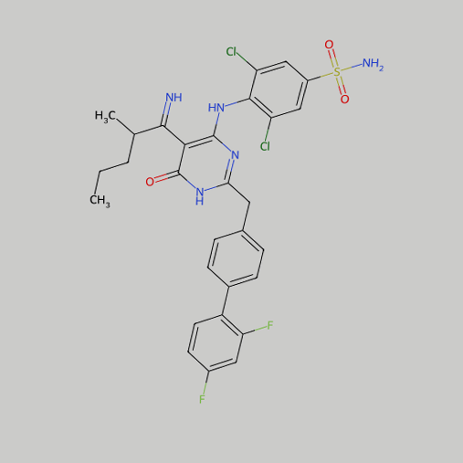 CCCC(C)C(=N)c1c(Nc2c(Cl)cc(S(N)(=O)=O)cc2Cl)nc(Cc2ccc(-c3ccc(F)cc3F)cc2)[nH]c1=O